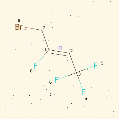 F/C(=C\C(F)(F)F)CBr